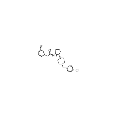 O=C(Cc1cccc(Br)c1)N[C@@H]1CCC[C@H]1N1CCC(Cc2ccc(Cl)cc2)CC1